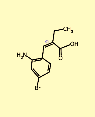 CC/C(=C/c1ccc(Br)cc1N)C(=O)O